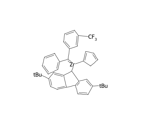 CC(C)(C)c1ccc2c(c1)[CH]([Zr]([C]1=CC=CC1)=[C](c1ccccc1)c1cccc(C(F)(F)F)c1)c1cc(C(C)(C)C)ccc1-2